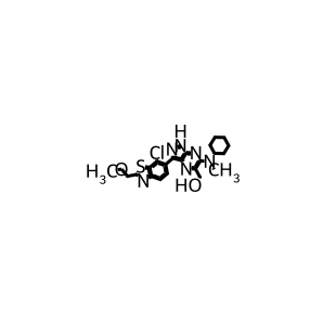 COCc1nc2ccc(-c3n[nH]c4nc(N(C)C5CCCCC5)c(CO)nc34)c(Cl)c2s1